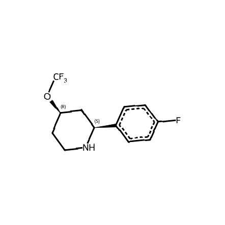 Fc1ccc([C@@H]2C[C@H](OC(F)(F)F)CCN2)cc1